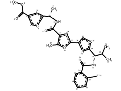 COC(=O)c1coc([C@H](C)NC(=O)c2nc(-c3csc([C@@H](NC(=O)c4ccccc4F)C(C)C)n3)oc2C)n1